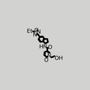 CCc1nc(-c2ccc3c(c2)CCC3NC(=O)c2ccc(=O)n(CCO)c2)no1